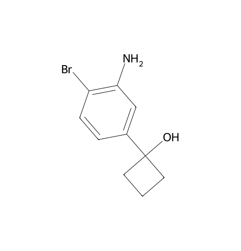 Nc1cc(C2(O)CCC2)ccc1Br